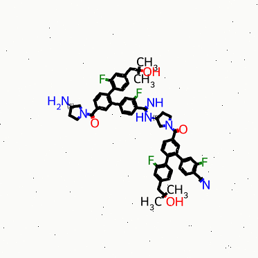 CC(C)(O)Cc1ccc(-c2ccc(C(=O)N3CC[C@H](N)C3)cc2-c2ccc(C(=N)N[C@H]3CCN(C(=O)c4ccc(-c5ccc(CC(C)(C)O)cc5F)c(-c5ccc(C#N)c(F)c5)c4)C3)c(F)c2)c(F)c1